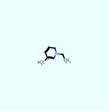 CCN1C=C(C)C=CC1